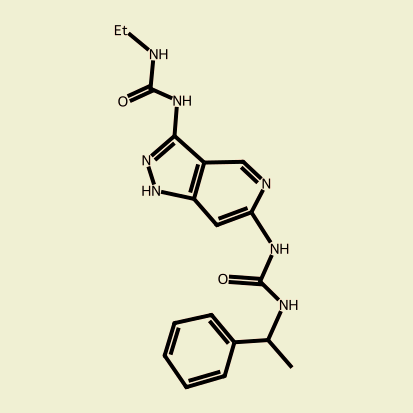 CCNC(=O)Nc1n[nH]c2cc(NC(=O)NC(C)c3ccccc3)ncc12